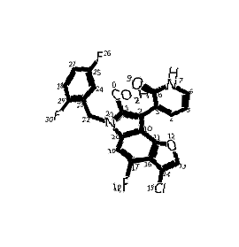 O=C(O)c1c(-c2ccc[nH]c2=O)c2c3occ(Cl)c3c(F)cc2n1Cc1cc(F)ccc1F